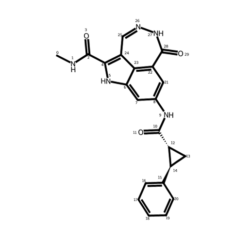 CNC(=O)c1[nH]c2cc(NC(=O)[C@@H]3C[C@H]3c3ccccc3)cc3c2c1C=NNC3=O